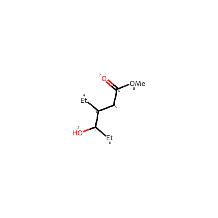 CCC(O)C(CC)CC(=O)OC